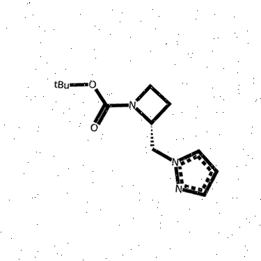 CC(C)(C)OC(=O)N1CC[C@@H]1Cn1cccn1